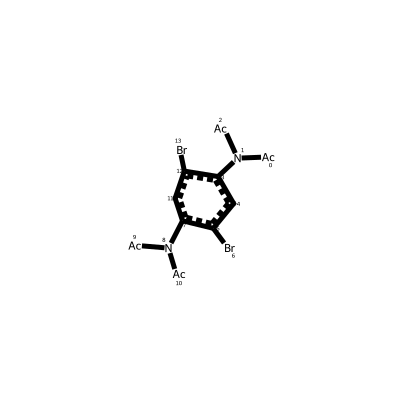 CC(=O)N(C(C)=O)c1cc(Br)c(N(C(C)=O)C(C)=O)cc1Br